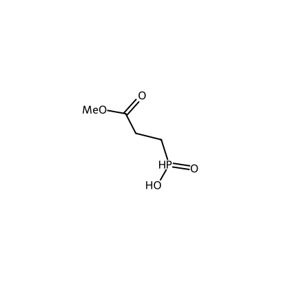 COC(=O)CC[PH](=O)O